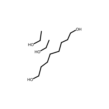 CCO.CCO.OCCCCCCCCO